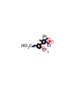 CCN1C(=O)OC(C(C)C)c2cc(C)c(-c3cc(/C=C/C(=O)O)ccc3OC(F)(F)F)cc21